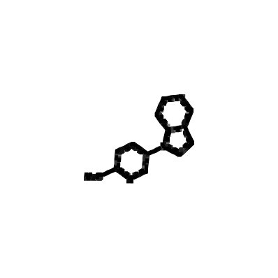 COc1ccc(-n2ccc3c[c]ccc32)cn1